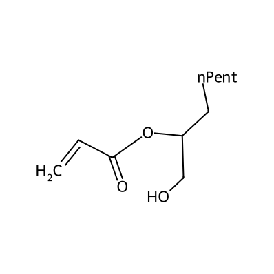 C=CC(=O)OC(CO)CCCCCC